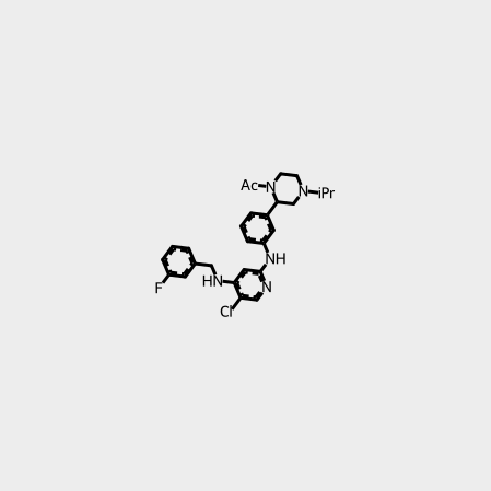 CC(=O)N1CCN(C(C)C)CC1c1cccc(Nc2cc(NCc3cccc(F)c3)c(Cl)cn2)c1